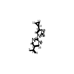 C=C(C)c1cnc(-n2cc(C3CC3)nn2)nc1